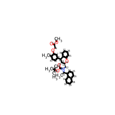 COC(=O)COc1cc(C2C[C@H](CN(C(=O)OC(C)(C)C)[C@H](C)c3cccc4ccccc34)Oc3ccccc32)ccc1C